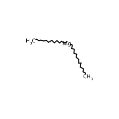 CCCCCCCCCCCCC[CH2][Mg][CH2]CCCCCCCCCCCCC